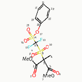 COC(=O)C(C)(C(=O)OC)S(=O)(=O)C(F)(F)S(=O)(=O)Oc1ccccc1